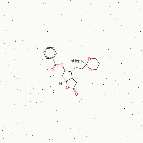 CCCCCCCC1(CC[C@@H]2C3CC(=O)O[C@H]3C[C@H]2OC(=O)c2ccccc2)OCCCO1